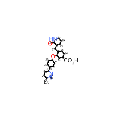 CCc1ccc(-c2ccc(Oc3cc(C(=O)O)ccc3Cc3ccc[nH]c3=O)cc2)nn1